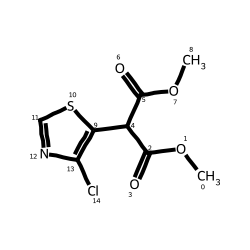 COC(=O)C(C(=O)OC)c1scnc1Cl